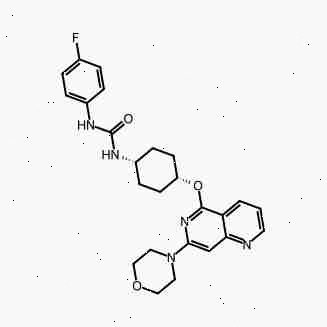 O=C(Nc1ccc(F)cc1)N[C@H]1CC[C@@H](Oc2nc(N3CCOCC3)cc3ncccc23)CC1